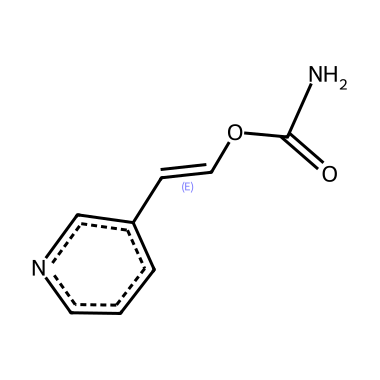 NC(=O)O/C=C/c1cccnc1